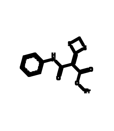 CC(C)OC(=O)C(C(=O)Nc1ccccc1)=C1SCS1